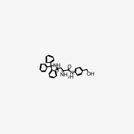 N[C@@H](CC(=O)NC(c1ccccc1)(c1ccccc1)c1ccccc1)C(=O)Nc1ccc(CO)cc1